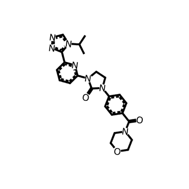 CC(C)n1cnnc1-c1cccc(N2CCN(c3ccc(C(=O)N4CCOCC4)cc3)C2=O)n1